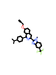 C#CCOc1ccc2cc(-c3nc4cc(C(F)(F)F)ccc4n3C)nc(-c3ccc(C(C)C)cc3)c2c1